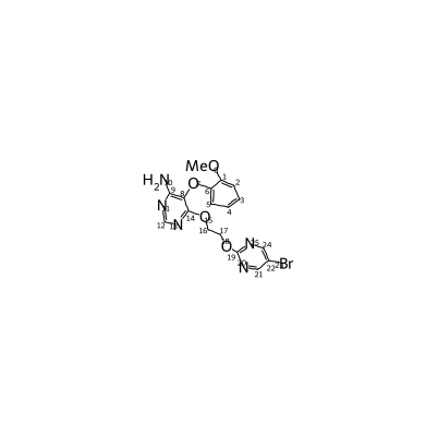 COc1ccccc1Oc1c(N)ncnc1OCCOc1ncc(Br)cn1